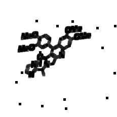 COc1ccc(-c2c3c(nc4cc(OC)c(OC)cc24)CN(C(C)c2ncc[nH]2)C3=O)cc1OC